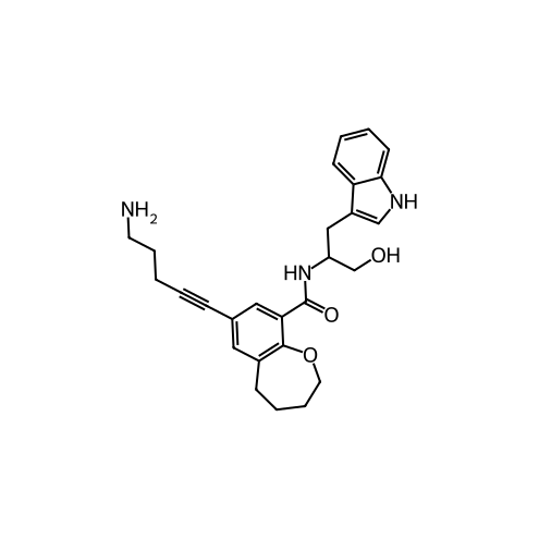 NCCCC#Cc1cc2c(c(C(=O)NC(CO)Cc3c[nH]c4ccccc34)c1)OCCCC2